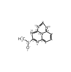 C[S+]([O-])C1=NC2=CC=CC3=NC=NC(=N1)N23